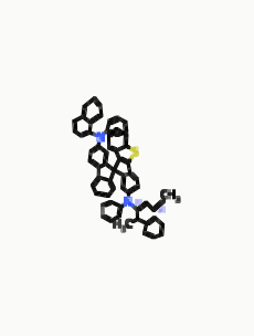 C/C=C\C=C(/C(C)c1ccccc1)N(c1ccccc1)c1ccc2c(c1)C1(c3ccccc3-c3ccc(N(c4c#cccc4)c4cccc5ccccc45)cc31)c1c-2sc2ccccc12